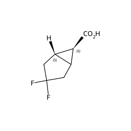 O=C(O)[C@H]1C2CC(F)(F)C[C@@H]21